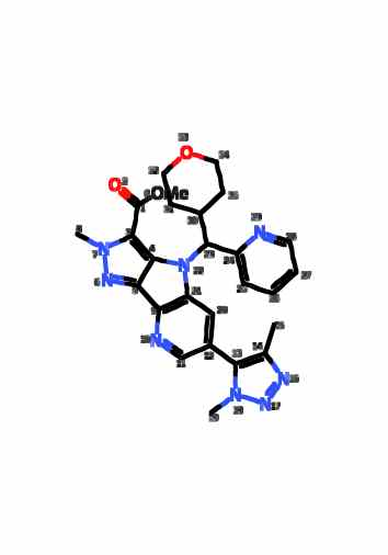 COC(=O)c1c2c(nn1C)c1ncc(-c3c(C)nnn3C)cc1n2C(c1ccccn1)C1CCOCC1